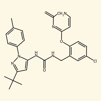 C=C(Cl)/N=C(\C=C/N)Oc1ccc(Cl)cc1CNC(=O)Nc1cc(C(C)(C)C)nn1-c1ccc(C)cc1